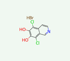 Br.Oc1c(O)c(Cl)c2cnccc2c1Cl